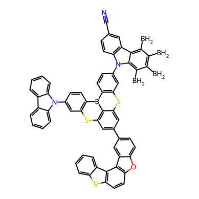 Bc1c(B)c(B)c2c(c1B)c1cc(C#N)ccc1n2-c1ccc2c(c1)Sc1cc(-c3ccc4oc5ccc6sc7ccccc7c6c5c4c3)cc3c1B2c1ccc(-n2c4ccccc4c4ccccc42)cc1S3